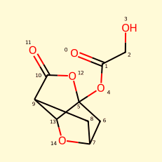 O=C(CO)OC12CC3CC(C(=O)O1)C2O3